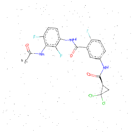 O=C(Nc1ccc(F)c(NC(=O)C(F)(F)F)c1F)c1cc(NC(=O)[C@H]2CC2(Cl)Cl)ccc1F